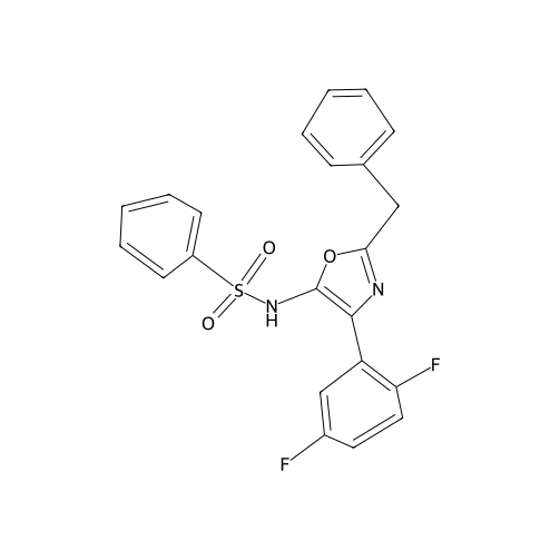 O=S(=O)(Nc1oc(Cc2ccccc2)nc1-c1cc(F)ccc1F)c1ccccc1